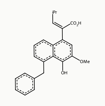 COc1cc(C(=CC(C)C)C(=O)O)c2cccc(Cc3ccccc3)c2c1O